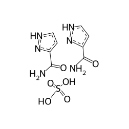 NC(=O)c1cc[nH]n1.NC(=O)c1cc[nH]n1.O=S(=O)(O)O